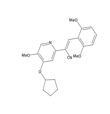 COc1cnc(C(C#N)=Cc2c(OC)cccc2OC)cc1OC1CCCC1